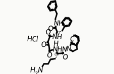 Cl.NCCCC[C@H](NC(=O)C1OC1C(=O)N[C@@H](Cc1ccccc1)C(=O)NCCc1ccccc1)C(=O)NN1CCc2ccccc21